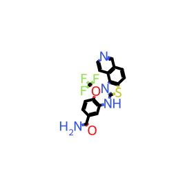 NC(=O)c1ccc(OC(F)(F)F)c(Nc2nc3c(ccc4cnccc43)s2)c1